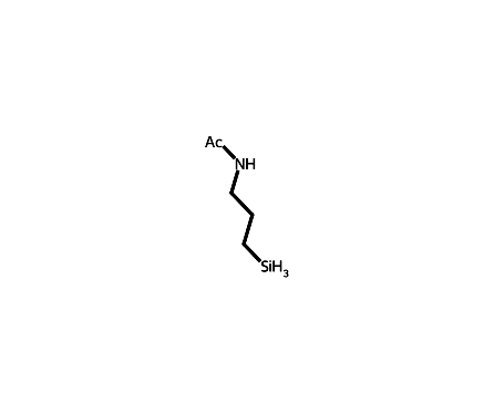 CC(=O)NCCC[SiH3]